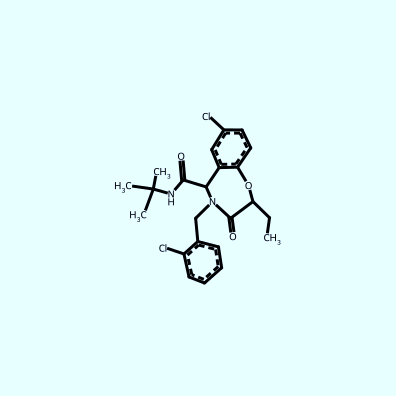 CCC1Oc2ccc(Cl)cc2C(C(=O)NC(C)(C)C)N(Cc2ccccc2Cl)C1=O